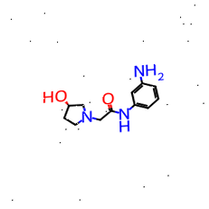 Nc1cccc(NC(=O)CN2CC[C@@H](O)C2)c1